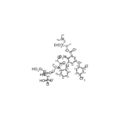 CCOC(=O)C(C)OC(=O)c1cc(Oc2ccc(C(F)(F)F)cc2Cl)ccc1[N+](=O)[O-].CCc1cccc(C)c1N(C(=O)CCl)C(C)COC.C[S+](C)C.O=C(O)CNCP(=O)([O-])O